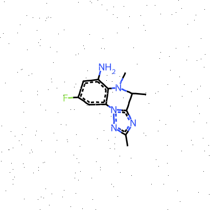 Cc1nc2n(n1)-c1cc(F)cc(N)c1N(C)C2C